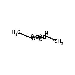 CCCCCCCCCCc1cnc(-c2ccc(OC(=O)c3ccc(CCCCCCCC)c(C#N)c3)cc2)nc1